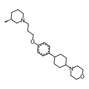 C[C@H]1CCCN(CCCOc2ccc(C3CCC(N4CCOCC4)CC3)cc2)C1